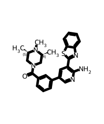 C[C@@H]1CN(C(=O)c2cccc(-c3cnc(N)c(-c4nc5ccccc5s4)c3)c2)C[C@H](C)N1C